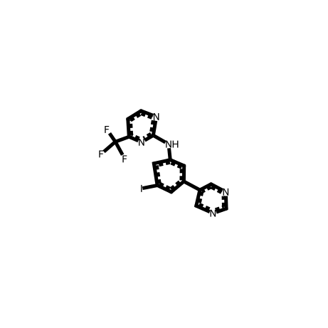 FC(F)(F)c1ccnc(Nc2cc(I)cc(-c3cncnc3)c2)n1